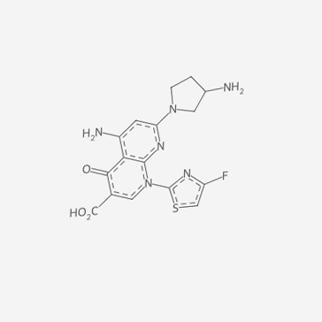 Nc1cc(N2CCC(N)C2)nc2c1c(=O)c(C(=O)O)cn2-c1nc(F)cs1